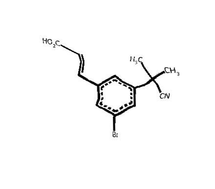 CC(C)(C#N)c1cc(Br)cc(C=CC(=O)O)c1